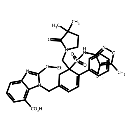 CCOc1nc2cccc(C(=O)O)c2n1CC1=CC=C(c2ccccc2)C(CN2CCC(C)(C)C2=O)(S(=O)(=O)Nc2noc(C)c2C)C1